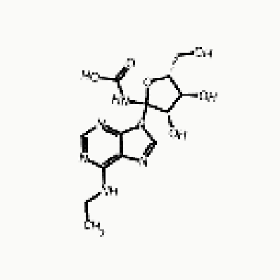 CCNc1ncnc2c1ncn2[C@]1(NC(=O)O)O[C@H](CO)[C@@H](O)[C@H]1O